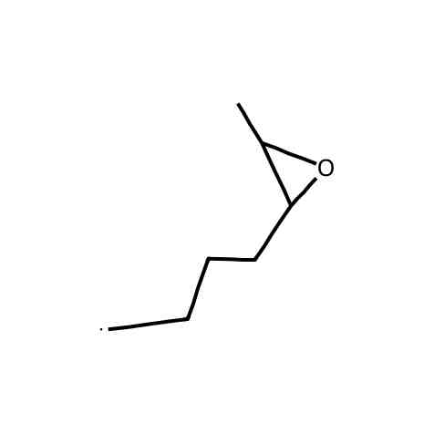 [CH2]CCCC1OC1C